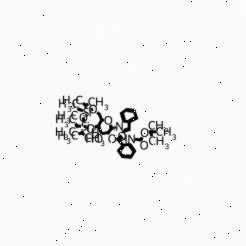 CC(C)[Si]1(C(C)C)OCC2O[C@@H](n3ccc4ccccc43)C(OC(=O)c3ccccc3NC(=O)OC(C)(C)C)C(O)[C@@H]2O[Si](C(C)C)(C(C)C)O1